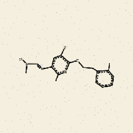 CCN(C)/C=N/c1cc(Br)c(OCCc2ccccc2C)nc1C